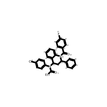 CCC(=O)N(c1ccc(Cl)cc1)C1CC(c2ccccc2)N(C(=O)c2ccc(F)cc2)c2ccccc21